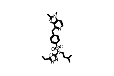 CCc1nnc(N(CCC(C)C)S(=O)(=O)c2ccc(Cc3nccc4c3nc(C)n4C)cc2)o1